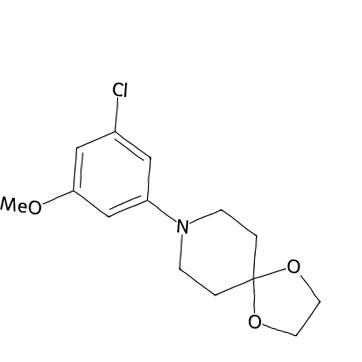 COc1cc(Cl)cc(N2CCC3(CC2)OCCO3)c1